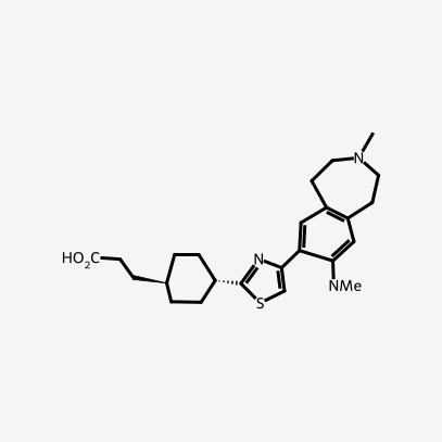 CNc1cc2c(cc1-c1csc([C@H]3CC[C@H](CCC(=O)O)CC3)n1)CCN(C)CC2